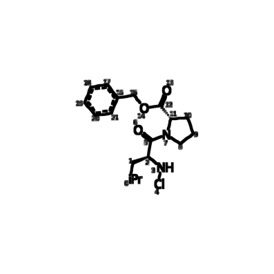 CC(C)C[C@H](NCl)C(=O)N1CCC[C@H]1C(=O)OCc1ccccc1